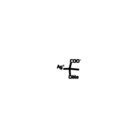 COC(C)(C)C(=O)[O-].[Ag+]